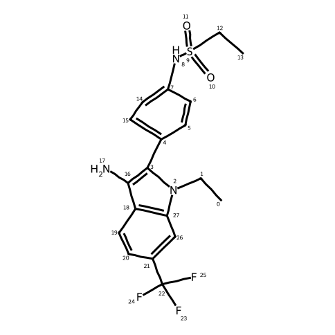 CCn1c(-c2ccc(NS(=O)(=O)CC)cc2)c(N)c2ccc(C(F)(F)F)cc21